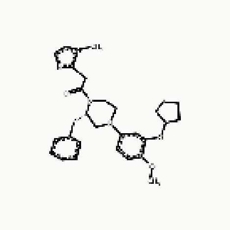 COc1ccc(N2CCN(C(=O)Cc3nccn3C)[C@@H](Cc3ccccc3)C2)cc1OC1CCCC1